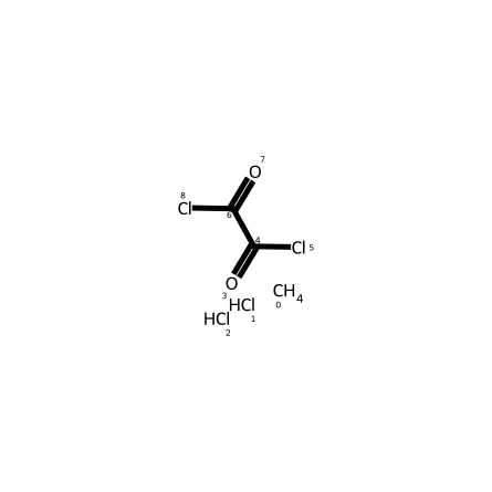 C.Cl.Cl.O=C(Cl)C(=O)Cl